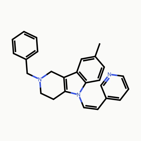 Cc1ccc2c(c1)c1c(n2/C=C\c2cccnc2)CCN(Cc2ccccc2)C1